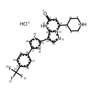 Cl.O=c1cc(C2CCNCC2)n2ncc(-c3nc(-c4ccc(C(F)(F)F)cc4)cs3)c2[nH]1